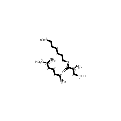 CCCCCCCCCCCCCCCCOC(=O)[C@@H](N)CC(=O)O.NCCCC[C@H](N)C(=O)O